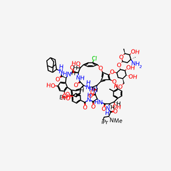 CCOc1ccc(C(=O)NC(=O)C2NC(=O)[C@H](NC(=O)[C@@H](CC(C)C)NC)[C@H](O)c3ccc(c(C)c3)Oc3cc4cc(c3O[C@@H]3C[C@H](CO)[C@@H](O)[C@H](O)[C@H]3O[C@H]3C[C@](C)(N)[C@H](O)[C@H](C)O3)Oc3ccc(cc3Cl)[C@@H](O)[C@@H]3NC(=O)[C@H](NC(=O)[C@@H]4NC2=O)c2ccc(O)c(c2)-c2c(O)cc(O)cc2[C@@H](C(=O)NC2C4CC5CC(C4)CC2C5)NC3=O)cc1